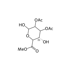 COC(=O)C1OC(O)C(OC(C)=O)C(OC(C)=O)[C@@H]1O